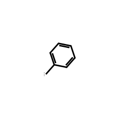 [C]c1ccccc1